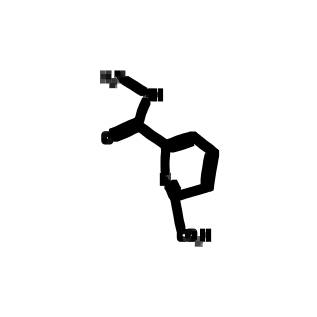 NNC(=O)c1cccc(C(=O)O)n1